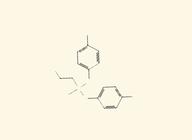 CCC[PH](Cl)(Oc1ccc(C)cc1)Oc1ccc(C)cc1